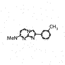 CNc1ccn2cc(-c3cccc(C)c3)nc2n1